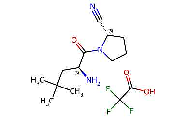 CC(C)(C)C[C@H](N)C(=O)N1CCC[C@H]1C#N.O=C(O)C(F)(F)F